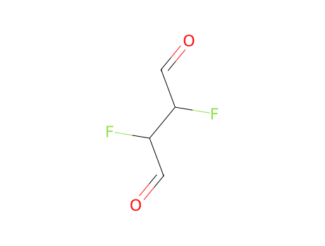 O=CC(F)C(F)C=O